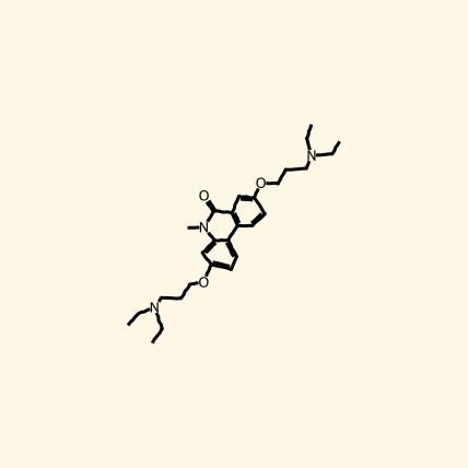 CCN(CC)CCCOc1ccc2c(c1)c(=O)n(C)c1cc(OCCCN(CC)CC)ccc21